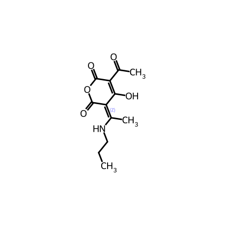 CCCN/C(C)=C1\C(=O)OC(=O)C(C(C)=O)=C1O